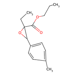 CCCOC(=O)C1(CC)OC1c1ccc(C)cc1